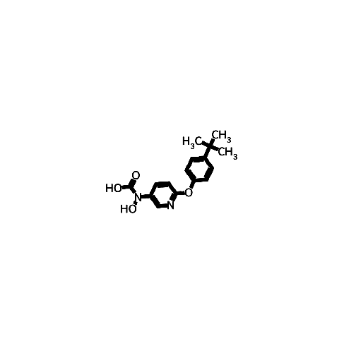 CC(C)(C)c1ccc(Oc2ccc(N(O)C(=O)O)cn2)cc1